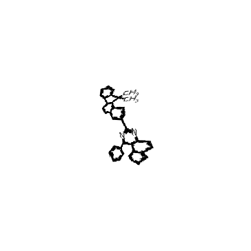 CC1(C)c2ccccc2-c2ccc3cc(-c4nc(-c5ccccc5)c5c(ccc6ccccc65)n4)ccc3c21